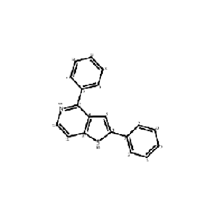 c1ccc(-c2cc3c(-c4ccccc4)nccc3s2)cc1